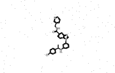 CC(Nc1cccc(-n2cnc3cc(C(=O)NCc4cccnc4)ccc32)c1)c1ccc(Cl)cc1